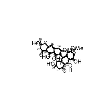 COc1cc(O)c2c(O)c3c(c(-c4c(OC)cc5cc6c(c(O)c5c4O)C(=O)CC(C)(O)C6)c2c1)CC(C)(O)CC3=O